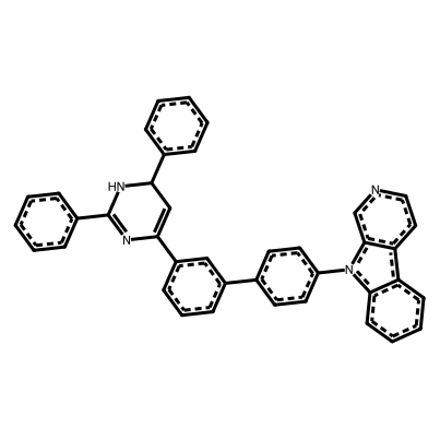 C1=C(c2cccc(-c3ccc(-n4c5ccccc5c5ccncc54)cc3)c2)N=C(c2ccccc2)NC1c1ccccc1